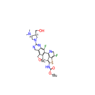 CN(C)[C@H]1CN(c2ncc3c4c(c(-c5ncc(F)c6sc(NC(=O)OC(C)(C)C)c(C#N)c56)c(F)c3n2)COC4)C[C@@H]1CO